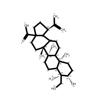 C=C(C)[C@@H]1CCC2(C(=O)O)CC[C@]3(C)C(CCC4[C@@]5(C)CC[C@H](O)[C@@](C)(CO)C5CC[C@]43C)C12